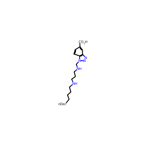 CCCCCCCCCCCCCCNCCCNCn1nnc2cc(C(=O)O)ccc21